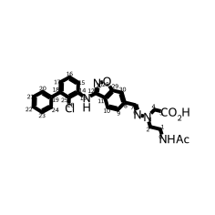 CC(=O)NCCN(CC(=O)O)N=Cc1ccc2c(Nc3cccc(-c4ccccc4)c3Cl)noc2c1